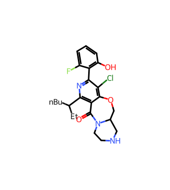 CCCCC(CC)c1nc(-c2c(O)cccc2F)c(Cl)c2c1C(=O)N1CCNCC1CO2